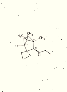 CC1(C)[C@@H]2CC[C@@]1(C)[C@@H](NCI)C21CCC1